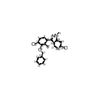 Cn1nc(-c2ccc(Cl)c(OCc3ccccc3)c2F)c2cnc(Cl)cc21